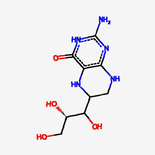 Nc1nc2c(c(=O)[nH]1)NC(C(O)[C@@H](O)CO)CN2